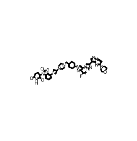 Cn1c(=O)n(C2CCC(=O)NC2=O)c2cccc(N3CC(N4CCN(CC5CCC(n6cc(-n7cc(-c8cnn9ccc(N%10CCOCC%10)nc89)nn7)c(C(F)F)n6)CC5)CC4)C3)c21